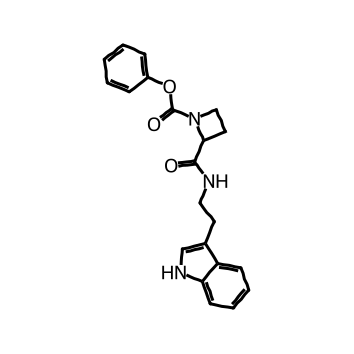 O=C(NCCc1c[nH]c2ccccc12)C1CCN1C(=O)Oc1ccccc1